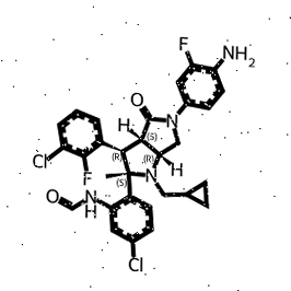 C[C@@]1(c2ccc(Cl)cc2NC=O)[C@@H](c2cccc(Cl)c2F)[C@@H]2C(=O)N(c3ccc(N)c(F)c3)C[C@@H]2N1CC1CC1